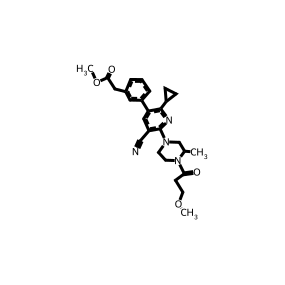 COCCC(=O)N1CCN(c2nc(C3CC3)c(-c3cccc(CC(=O)OC)c3)cc2C#N)CC1C